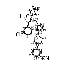 CC1(N2Cc3cc(Cl)ccc3-n3c(nnc3C3CCN(c4nccc(C#N)n4)CC3)C2)CC(F)(F)C1